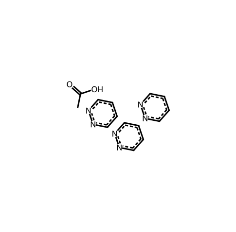 CC(=O)O.c1ccnnc1.c1ccnnc1.c1ccnnc1